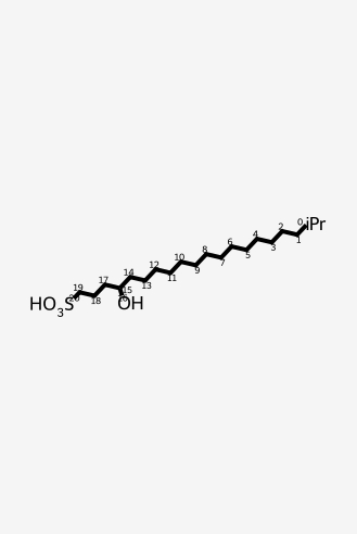 CC(C)CCCCCCCCCCCCCCC(O)CCCS(=O)(=O)O